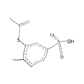 C=C(C)Sc1cc(S(=O)(=O)O)ccc1C